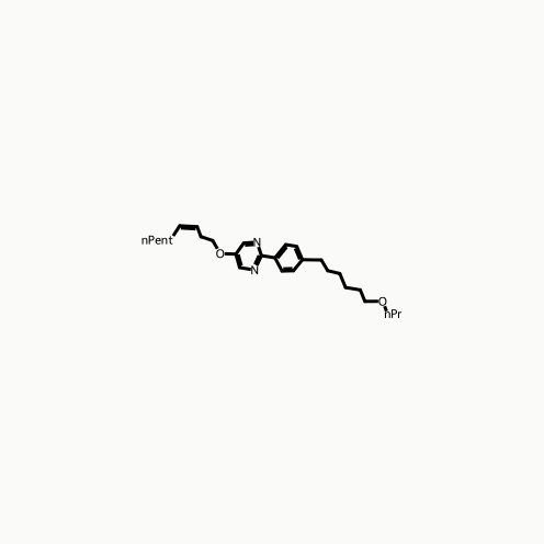 CCCCC/C=C\CCOc1cnc(-c2ccc(CCCCCCOCCC)cc2)nc1